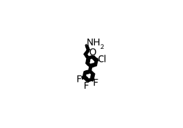 NCC1Cc2cc(-c3cc(F)c(F)c(F)c3)cc(Cl)c2O1